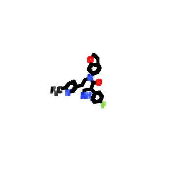 NCC(C(=O)N(CCc1ccc(C(F)(F)F)nc1)c1ccc2c(c1)OCC2)c1ccc(F)cc1